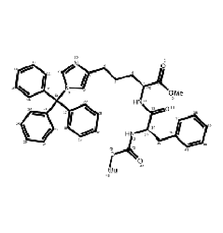 COC(=O)[C@H](CCCc1cn(C(c2ccccc2)(c2ccccc2)c2ccccc2)cn1)NC(=O)[C@@H](Cc1ccccc1)NC(=O)OC(C)(C)C